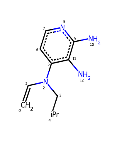 C=CN(CC(C)C)c1ccnc(N)c1N